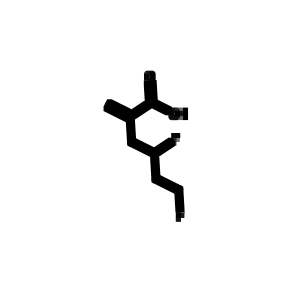 C=C(CC(F)CCF)C(=O)O